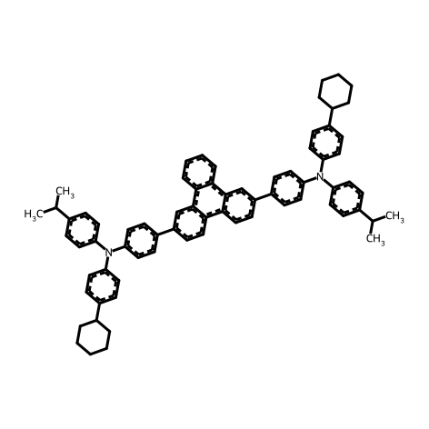 CC(C)c1ccc(N(c2ccc(-c3ccc4c5ccc(-c6ccc(N(c7ccc(C(C)C)cc7)c7ccc(C8CCCCC8)cc7)cc6)cc5c5ccccc5c4c3)cc2)c2ccc(C3CCCCC3)cc2)cc1